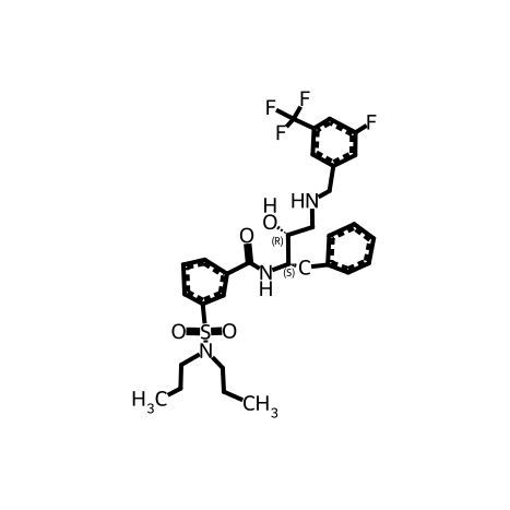 CCCN(CCC)S(=O)(=O)c1cccc(C(=O)N[C@@H](Cc2ccccc2)[C@H](O)CNCc2cc(F)cc(C(F)(F)F)c2)c1